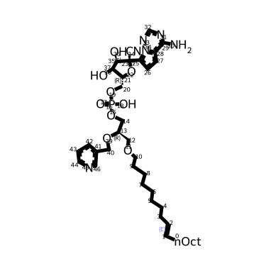 CCCCCCCC/C=C/CCCCCCCCOC[C@H](COP(=O)(O)OC[C@H]1O[C@@](C#N)(c2ccc3c(N)ncnn23)[C@@H](O)C1O)OCc1cccnc1